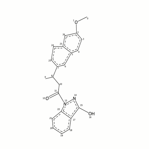 COc1ccc2cc(C(C)CC(=O)n3nc(O)c4ccccc43)ccc2c1